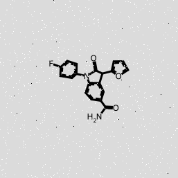 NC(=O)c1ccc2c(c1)C(c1ccco1)C(=O)N2c1ccc(F)cc1